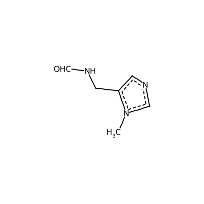 Cn1cncc1CNC=O